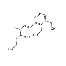 CC(C=Cc1cccc(CO)c1CO)C(O)CCO